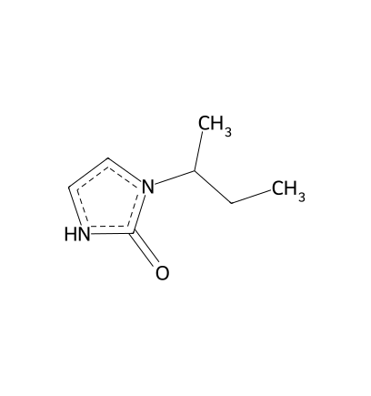 CCC(C)n1cc[nH]c1=O